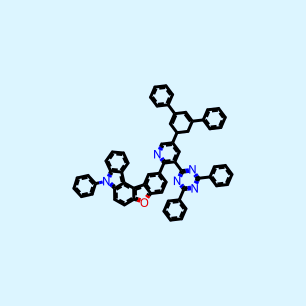 C1=C(c2ccccc2)C=C(c2ccccc2)CC1c1cnc(-c2ccc3oc4ccc5c(c6ccccc6n5-c5ccccc5)c4c3c2)c(-c2nc(-c3ccccc3)nc(-c3ccccc3)n2)c1